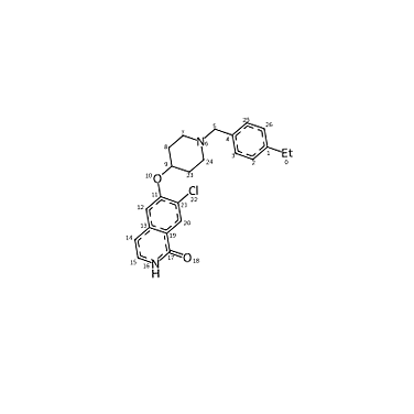 CCc1ccc(CN2CCC(Oc3cc4cc[nH]c(=O)c4cc3Cl)CC2)cc1